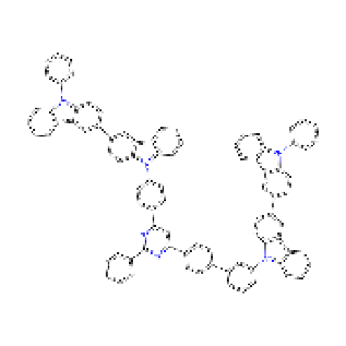 c1ccc(-c2nc(-c3ccc(-c4cccc(-n5c6ccccc6c6cc(-c7ccc8c(c7)c7ccccc7n8-c7ccccc7)ccc65)c4)cc3)cc(-c3ccc(-n4c5ccccc5c5cc(-c6ccc7c(c6)c6ccccc6n7-c6ccccc6)ccc54)cc3)n2)cc1